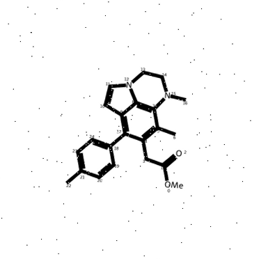 COC(=O)Cc1c(C)c2c3c(ccn3CCN2C)c1-c1ccc(C)cc1